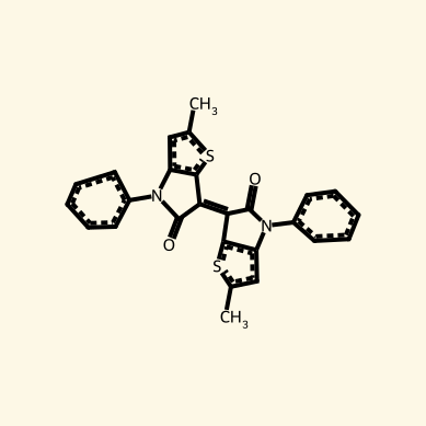 Cc1cc2c(s1)/C(=C1\C(=O)N(c3ccccc3)c3cc(C)sc31)C(=O)N2c1ccccc1